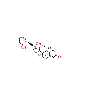 C[C@]12CC[C@@H]3[C@@H](CCC4=CC(O)CC[C@@H]43)[C@H]1CCC2(O)C#Cc1ccccc1O